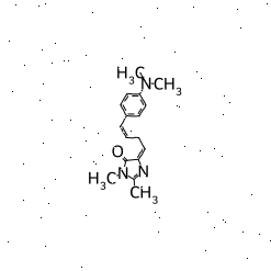 CC1=N/C(=C/C/C=C\c2ccc(N(C)C)cc2)C(=O)N1C